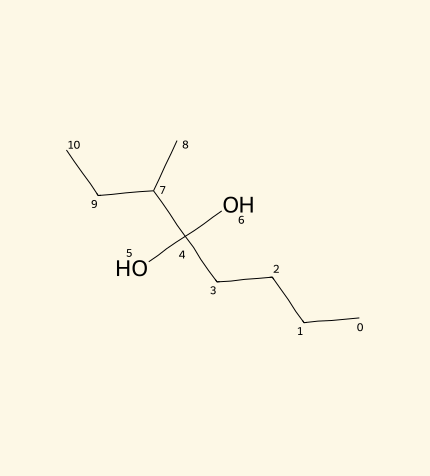 CCCCC(O)(O)C(C)CC